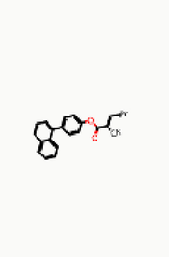 CC(C)C=C(C#N)C(=O)Oc1ccc(-c2cccc3ccccc23)cc1